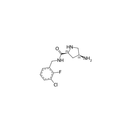 N[C@@H]1CN[C@H](C(=O)NCc2cccc(Cl)c2F)C1